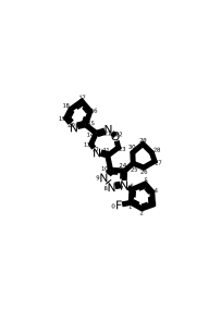 Fc1ccccc1-n1nnc(C2=NCC(c3ccccn3)=NOC2)c1C1CCCCC1